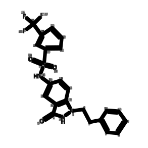 O=c1[nH]n(CCc2ccccc2)c2ccc(NS(=O)(=O)c3cccc(C(F)(F)F)c3)cc12